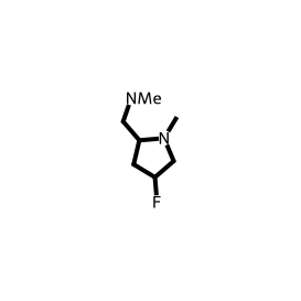 CNCC1CC(F)CN1C